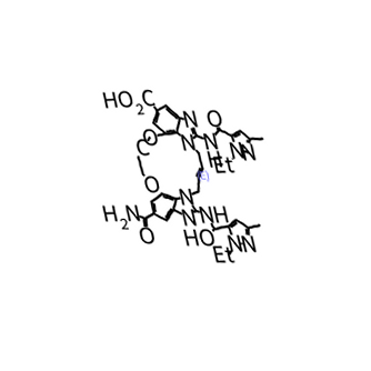 CCn1nc(C)cc1C(=O)Nc1nc2cc(C(=O)O)cc3c2n1C/C=C/Cn1c(NC(O)c2cc(C)nn2CC)nc2cc(C(N)=O)cc(c21)OCCCO3